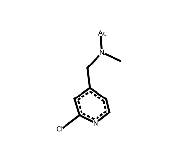 CC(=O)N(C)Cc1ccnc(Cl)c1